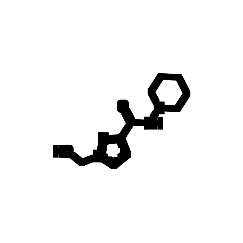 O=C(NN1CCCCC1)c1ccn(CO)n1